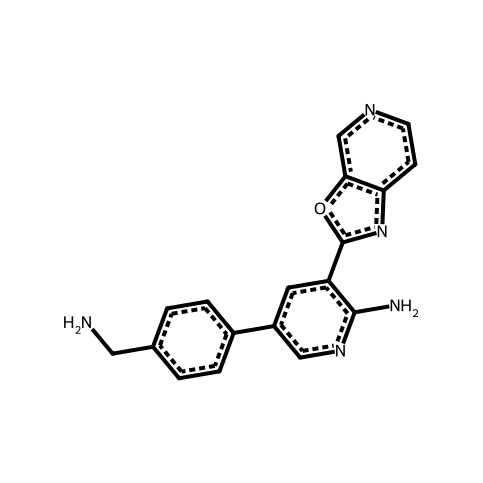 NCc1ccc(-c2cnc(N)c(-c3nc4ccncc4o3)c2)cc1